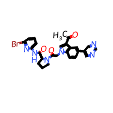 CC(=O)c1cn(CC(=O)N2CCCC2C(=O)Nc2cccc(Br)n2)c2ccc(-c3cncnc3)cc12